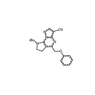 CCC(C)N1CCc2c(COc3ccccc3)nc3c(C#N)cnn3c21